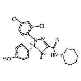 C[C@@H]1C(C(=O)NN2CCCCCC2)=NN(c2ccc(Cl)cc2Cl)[C@H]1c1ccc(O)cc1